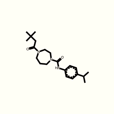 CC(C)c1ccc(NC(=O)N2CCCN(C(=O)CC(C)(C)C)CC2)cc1